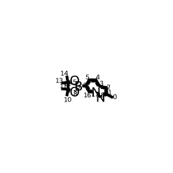 Cc1cc2ccc(B3OC(C)(C)C(C)(C)O3)cn2n1